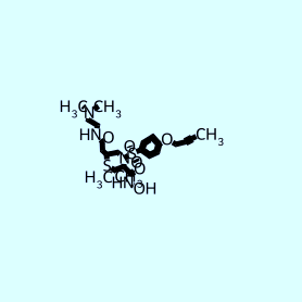 CC#CCOc1ccc(S(=O)(=O)N2CC(CC(=O)NCCN(C)C)SC(C)(C)C2C(=O)NO)cc1